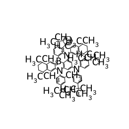 Cc1cc(C(C)(C)C)ccc1N1c2cc3c(cc2B2c4ccc5c(c4N(c4cc6c(cc4C)C(C)(C)CCC6(C)C)c4cc(N(c6ccc(C(C)(C)C)cc6)c6ccc(C(C)(C)C)cc6)cc1c42)-c1ccccc1C5(C)C)C(C)(C)CCC3(C)C